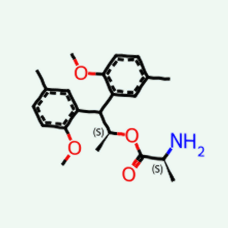 COc1ccc(C)cc1C(c1cc(C)ccc1OC)[C@H](C)OC(=O)[C@H](C)N